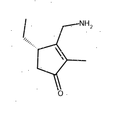 CC[C@H]1CC(=O)C(C)=C1CN